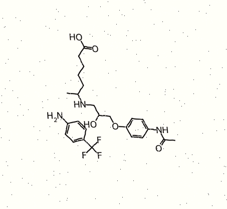 CC(=O)Nc1ccc(OCC(O)CNC(C)CCCCC(=O)O)cc1.Nc1ccc(C(F)(F)F)cc1